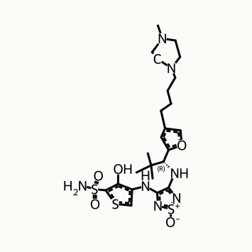 CN1CCN(CCCCc2coc([C@H](Nc3n[s+]([O-])nc3Nc3csc(S(N)(=O)=O)c3O)C(C)(C)C)c2)CC1